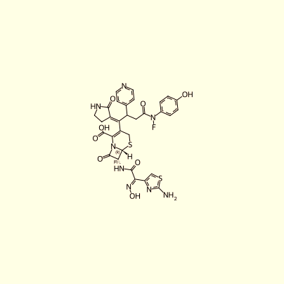 Nc1nc(C(=NO)C(=O)N[C@@H]2C(=O)N3C(C(=O)O)=C(C(=C4CCNC4=O)C(CC(=O)N(F)c4ccc(O)cc4)c4ccncc4)CS[C@H]23)cs1